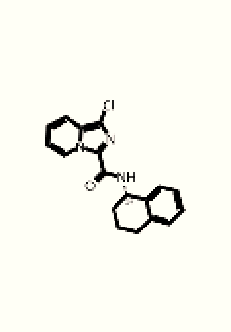 O=C(N[C@H]1CCCc2ccccc21)c1nc(Cl)c2ccccn12